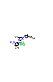 CCCc1cc(N2CC[C@H](NC)C2)nc(Nc2cc(N)cc(C#N)c2)n1.Cl.Cl